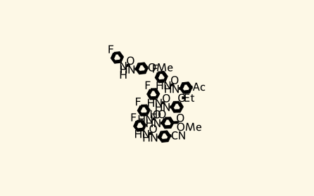 CC(=O)c1ccc(NC(=O)Nc2ccc(F)cc2)cc1.CCOc1cccc(NC(=O)Nc2ccc(F)cc2)c1.COC(=O)c1ccc(NC(=O)Nc2ccc(F)cc2)c(O)c1.COc1ccc(NC(=O)Nc2ccc(F)cc2)cc1.N#Cc1ccc(NC(=O)Nc2ccc(F)cc2)cc1